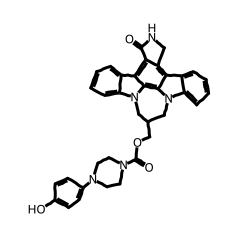 O=C1NCc2c1c1c3ccccc3n3c1c1c2c2ccccc2n1CC(COC(=O)N1CCN(c2ccc(O)cc2)CC1)C3